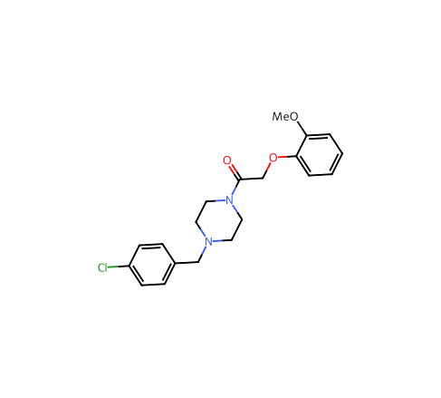 COc1ccccc1OCC(=O)N1CCN(Cc2ccc(Cl)cc2)CC1